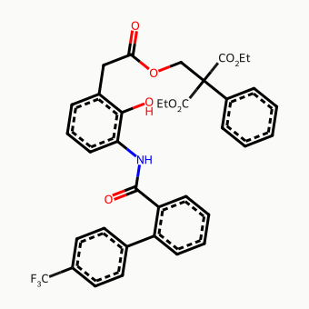 CCOC(=O)C(COC(=O)Cc1cccc(NC(=O)c2ccccc2-c2ccc(C(F)(F)F)cc2)c1O)(C(=O)OCC)c1ccccc1